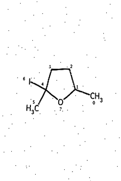 CC1CCC(C)(I)O1